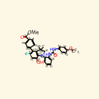 COC(=O)c1ccc(-c2c(F)cc(O)c3c2C(C)(C)CN3c2ccccc2NC(=O)Nc2ccc(OC(F)(F)F)cc2)cc1